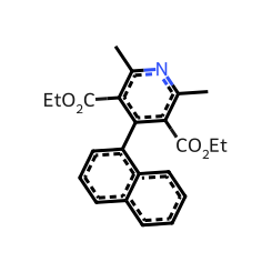 CCOC(=O)c1c(C)nc(C)c(C(=O)OCC)c1-c1cccc2ccccc12